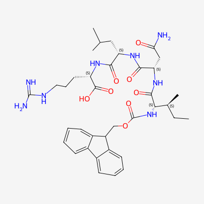 CC[C@H](C)[C@H](NC(=O)OCC1c2ccccc2-c2ccccc21)C(=O)N[C@@H](CC(N)=O)C(=O)N[C@@H](CC(C)C)C(=O)N[C@@H](CCCNC(=N)N)C(=O)O